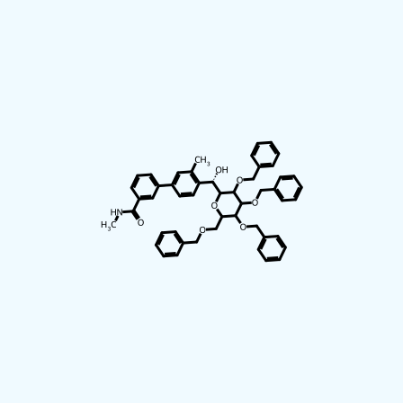 CNC(=O)c1cccc(-c2ccc([C@H](O)C3OC(COCc4ccccc4)C(OCc4ccccc4)C(OCc4ccccc4)C3OCc3ccccc3)c(C)c2)c1